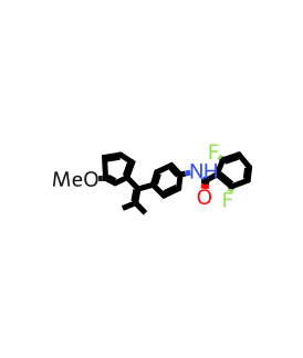 COc1cccc(C(=C(C)C)c2ccc(NC(=O)c3c(F)cccc3F)cc2)c1